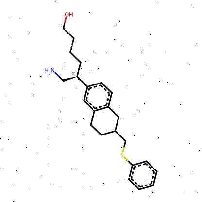 NC[C@@H](CCCCO)c1ccc2c(c1)CCC(CSc1ccccc1)C2